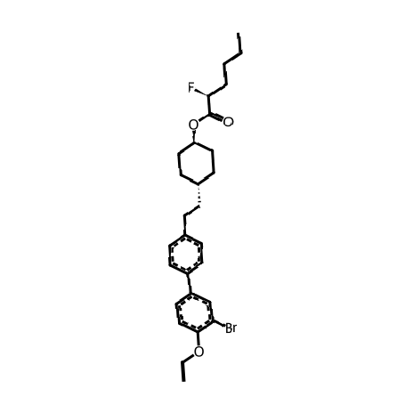 CCCC[C@H](F)C(=O)O[C@H]1CC[C@H](CCc2ccc(-c3ccc(OCC)c(Br)c3)cc2)CC1